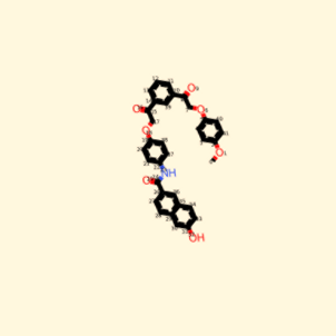 COc1ccc(OCC(=O)c2cccc(C(=O)COc3ccc(NC(=O)c4ccc5cc(O)ccc5c4)cc3)c2)cc1